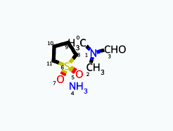 CN(C)C=O.N.O=S1(=O)CCCC1